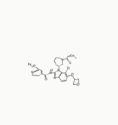 C=CC(=O)N1CCCCC(n2c(NC(=O)c3ccnc(C)c3)nc3ccc(OC4COC4)c(Cl)c32)C1